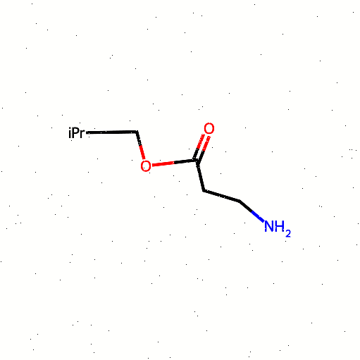 [CH2]C(C)COC(=O)CCN